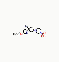 CCOc1ccc(C2(C#N)CCC(N3CCCN(C(=O)O)CC3)CC2)nc1